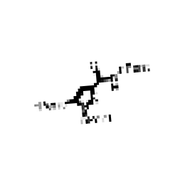 CCCCCNC(=O)c1cc(CCCCC)n(CCCCC)n1